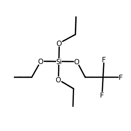 CCO[Si](OCC)(OCC)OCC(F)(F)F